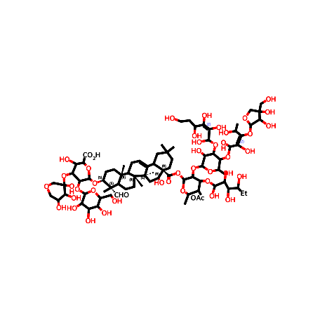 CCC(O)C(O)C(O)C(O)OC1C(OC(C)=O)C(C)OC(OC(=O)[C@]23CCC(C)(C)CC2C2=CCC4[C@@]5(C)CC[C@H](OC6OC(C(=O)O)C(O)C(OC7(O)COCC(O)C7O)C6OC6OC(CO)C(O)C(O)C6O)[C@@](C)(C=O)C5CC[C@@]4(C)[C@]2(C)C[C@H]3O)C1OC1OC(C)C(OC(O)/C(O)=C(/OC2OCC(O)(CO)C2O)C(C)O)C(OC(O)/C(O)=C(/O)C(O)CCO)C1O